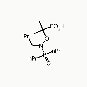 CCCP(=O)(CCC)N(CC(C)C)OC(C)(C)C(=O)O